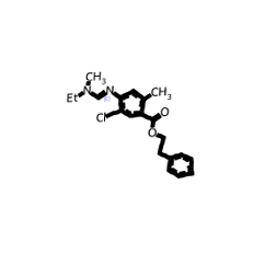 CCN(C)/C=N/c1cc(C)c(C(=O)OCCc2ccccc2)cc1Cl